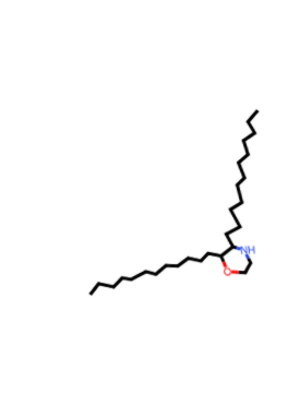 CCCCCCCCCCCCC1NCCOC1CCCCCCCCCCCC